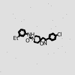 CCc1cccc(NC(=O)N2CCC3(CC2)CC(c2ccc(Cl)cc2)=NO3)c1